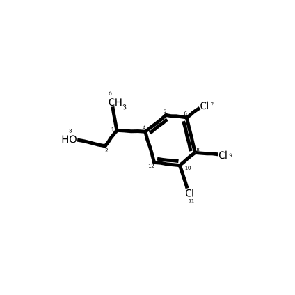 C[C](CO)c1cc(Cl)c(Cl)c(Cl)c1